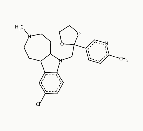 Cc1ccc(C2(CN3c4ccc(Cl)cc4C4CCN(C)CCC43)OCCO2)cn1